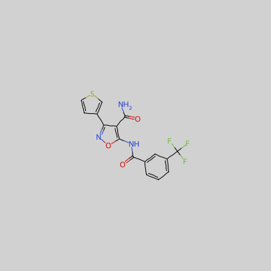 NC(=O)c1c(-c2ccsc2)noc1NC(=O)c1cccc(C(F)(F)F)c1